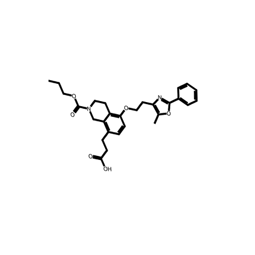 CCCOC(=O)N1CCc2c(OCCc3nc(-c4ccccc4)oc3C)ccc(CCC(=O)O)c2C1